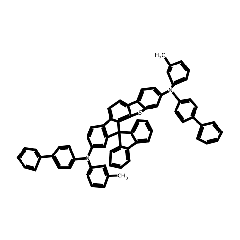 Cc1cccc(N(c2ccc(-c3ccccc3)cc2)c2ccc3c(c2)C2(c4ccccc4-c4ccccc42)c2c-3ccc3c2sc2cc(N(c4ccc(-c5ccccc5)cc4)c4cccc(C)c4)ccc23)c1